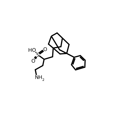 NCCC(CC12CC3CC(C1)CC(c1ccccc1)(C3)C2)S(=O)(=O)O